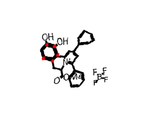 COC(=O)C(Cc1ccc(O)c(O)c1)[n+]1c(-c2ccccc2)cc(-c2ccccc2)cc1-c1ccccc1.F[B-](F)(F)F